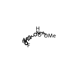 COCC1CC(CC(=O)NC2CCC(CCN3CCN(c4noc5ccc(F)cc45)CC3)CC2)C1